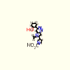 O=C(O)N1CCC(c2cc3nnc(-c4ccccc4O)cc3n2C2CC2)C1